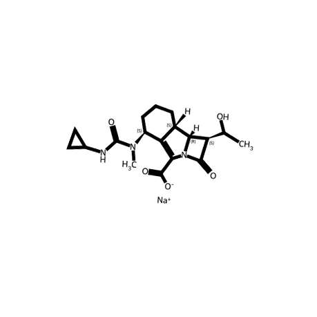 CC(O)[C@H]1C(=O)N2C(C(=O)[O-])=C3[C@H](CCC[C@@H]3N(C)C(=O)NC3CC3)[C@H]12.[Na+]